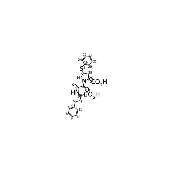 C[C@H](N[C@H](CCc1ccccc1)C(=O)O)C(=O)N1CC(Sc2ccccc2)C[C@H]1C(=O)O